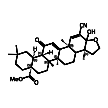 COC(=O)[C@]12CCC(C)(C)C[C@H]1[C@H]1C(=O)C=C3[C@@]4(C)C=C(C#N)C5(O)OCC[C@@]5(C)C4CC[C@@]3(C)[C@]1(C)CC2